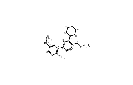 CCCc1ncc(-c2cc(NC)cnc2C)nc1N1CCCCC1